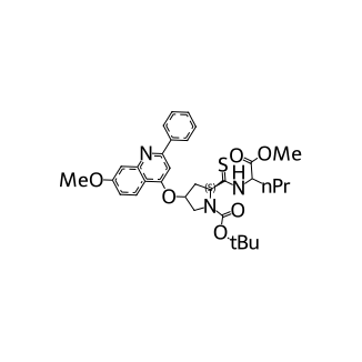 CCCC(NC(=S)[C@@H]1CC(Oc2cc(-c3ccccc3)nc3cc(OC)ccc23)CN1C(=O)OC(C)(C)C)C(=O)OC